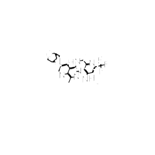 Cc1nnc(N[C@H](C)c2cc(N)cc(C(F)(F)F)n2)c2cc(N3CC4CC3CO4)cnc12